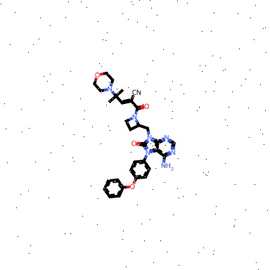 CC(C)(C=C(C#N)C(=O)N1CCC1Cn1c(=O)n(-c2ccc(Oc3ccccc3)cc2)c2c(N)ncnc21)N1CCOCC1